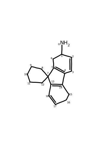 NC1C=CC2=C(C1)C1(CCCCC1)C1=C2CCC=C1